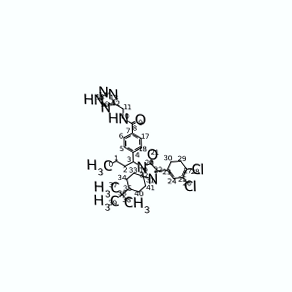 CCCC(c1ccc(C(=O)NCc2nn[nH]n2)cc1)N1C(=O)C(C2=CC(Cl)=C(Cl)CC2)=NC12CCC(C(C)(C)C)CC2